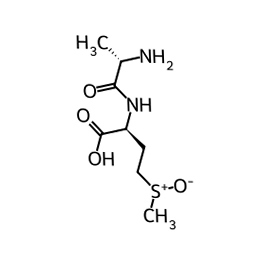 C[C@H](N)C(=O)N[C@@H](CC[S+](C)[O-])C(=O)O